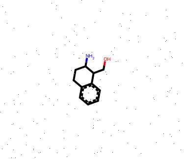 NC1CCc2ccccc2C1CO